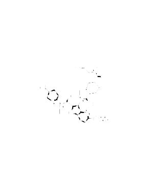 COc1ccc2oc(C(=O)Nc3ccc(Cl)cn3)c(NC(=O)[C@H]3CC[C@H](C(=O)N(C)CCO)CC3)c2n1